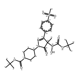 CC(C)(C)OC(=O)N1CCC(N2N=C(c3ccc(S(C)(=O)=O)cc3)C(C)(N(O)C(=O)OC(C)(C)C)C2=O)CC1